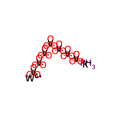 P.[K+].[O]=[V](=[O])[O-].[O]=[V](=[O])[O-].[O]=[V](=[O])[O-].[O]=[V](=[O])[O-].[O]=[V](=[O])[O-].[O]=[V](=[O])[O-].[O]=[V](=[O])[O-].[W+6]